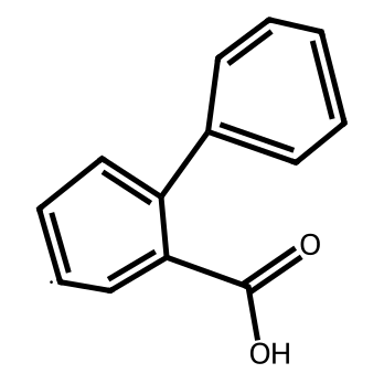 O=C(O)c1c[c]ccc1-c1ccccc1